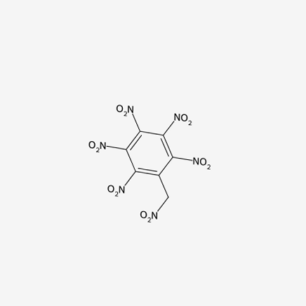 O=[N+]([O-])Cc1c([N+](=O)[O-])c([N+](=O)[O-])c([N+](=O)[O-])c([N+](=O)[O-])c1[N+](=O)[O-]